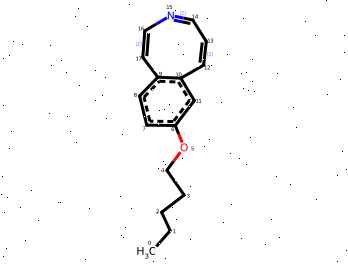 CCCCCOc1ccc2c(c1)\C=C/C=N\C=C/2